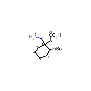 CCCCC1CCCCC1(CN)CC(=O)O